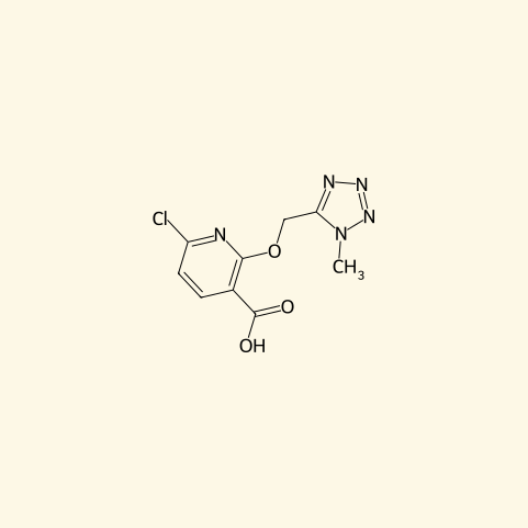 Cn1nnnc1COc1nc(Cl)ccc1C(=O)O